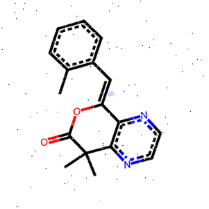 Cc1ccccc1/C=C1\OC(=O)C(C)(C)c2nccnc21